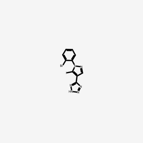 Brc1ccccc1-n1ncc(-c2nn[nH]n2)c1I